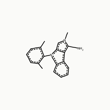 Cc1cccc(C)c1-n1c2ccccc2c2c(N)n(C)cc21